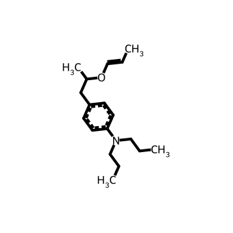 CC=COC(C)Cc1ccc(N(CCC)CCC)cc1